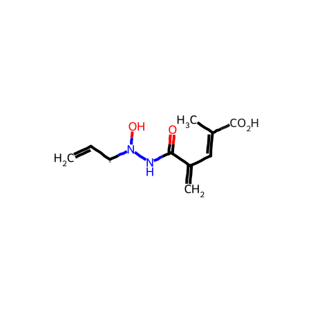 C=C[CH]N(O)NC(=O)C(=C)C=C(C)C(=O)O